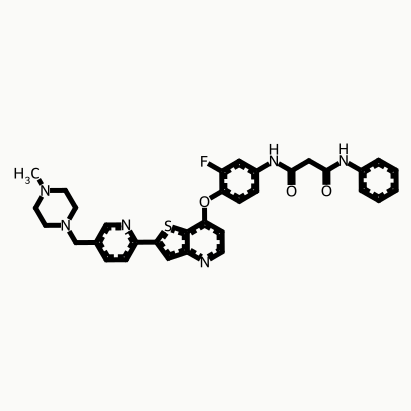 CN1CCN(Cc2ccc(-c3cc4nccc(Oc5ccc(NC(=O)CC(=O)Nc6ccccc6)cc5F)c4s3)nc2)CC1